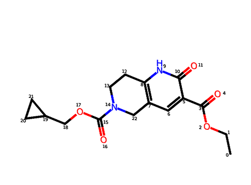 CCOC(=O)c1cc2c([nH]c1=O)CCN(C(=O)OCC1CC1)C2